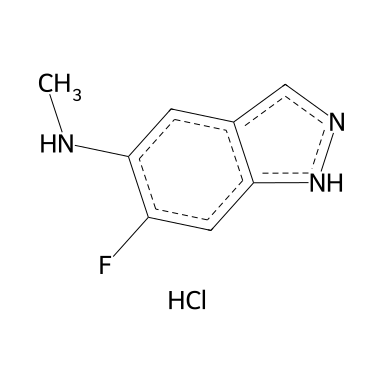 CNc1cc2cn[nH]c2cc1F.Cl